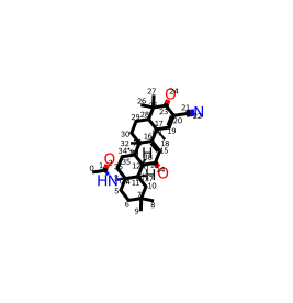 CC(=O)N[C@]12CCC(C)(C)C[C@H]1[C@H]1C(=O)C=C3[C@@]4(C)C=C(C#N)C(=O)C(C)(C)C4CC[C@@]3(C)[C@]1(C)CC2